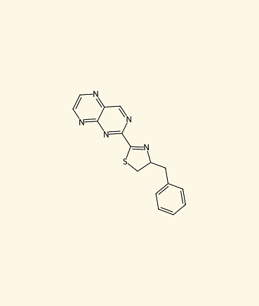 c1ccc(CC2CSC(c3ncc4nccnc4n3)=N2)cc1